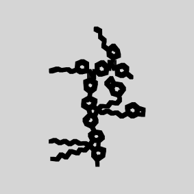 C=CCCCc1cccc(N(c2ccc(C)cc2)c2ccc(N(c3ccc(-c4ccc5c(c4)C(CCCCCc4ccc6c(c4)CC6)(CCCCCc4ccc6c(c4)CC6)c4cc(-c6ccc7c(c6)C(CCCCCCCC)(CCCCCCCC)c6cc(C)ccc6-7)ccc4-5)cc3)c3cccc(CCCC=C)c3)cc2)c1